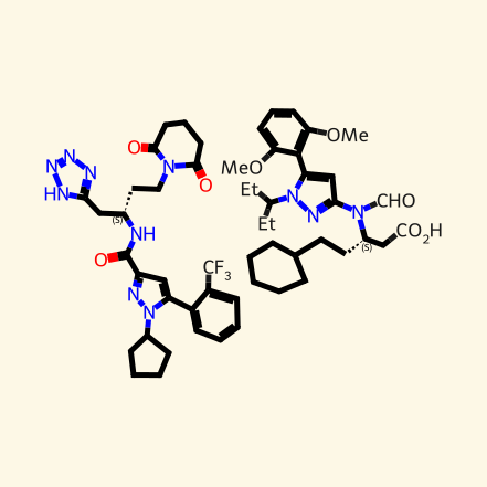 CCC(CC)n1nc(N(C=O)[C@@H](CCC2CCCCC2)CC(=O)O)cc1-c1c(OC)cccc1OC.O=C(N[C@@H](CCN1C(=O)CCCC1=O)Cc1nnn[nH]1)c1cc(-c2ccccc2C(F)(F)F)n(C2CCCC2)n1